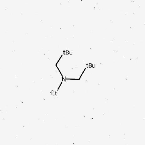 C[CH]N(CC(C)(C)C)CC(C)(C)C